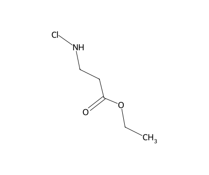 CCOC(=O)CCNCl